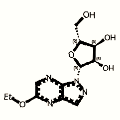 CCOc1cnc2c(cnn2[C@@H]2O[C@H](CO)[C@@H](O)[C@H]2O)n1